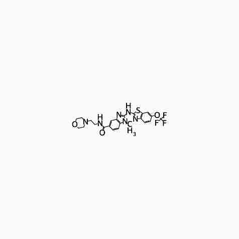 Cn1c(Nc2nc3ccc(OC(F)(F)F)cc3s2)nc2cc(C(=O)NCCN3CCOCC3)ccc21